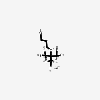 [Li+].[O-]CCCOC(C(F)(F)F)(C(F)(F)F)C(F)(F)F